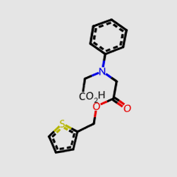 O=C(O)CN(CC(=O)OCc1cccs1)c1ccccc1